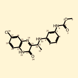 COC(=O)Nc1cccc(N[C@@H](C)c2nc3cc(Cl)ccc3[nH]c2=O)c1